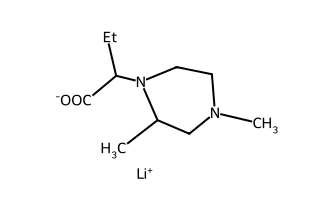 CCC(C(=O)[O-])N1CCN(C)CC1C.[Li+]